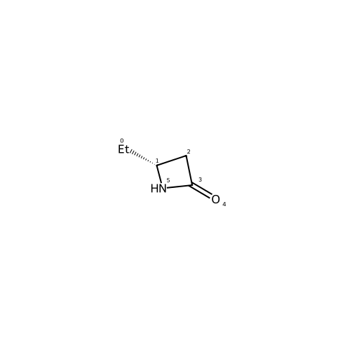 CC[C@@H]1CC(=O)N1